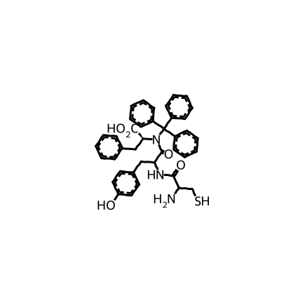 NC(CS)C(=O)NC(Cc1ccc(O)cc1)C(=O)N([C@@H](Cc1ccccc1)C(=O)O)C(c1ccccc1)(c1ccccc1)c1ccccc1